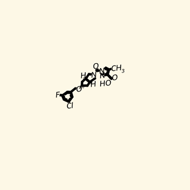 Cc1cn(C(=O)N2C[C@H]3C[C@H](OCc4cc(F)cc(Cl)c4)C[C@H]3C2)nc1C(=O)O